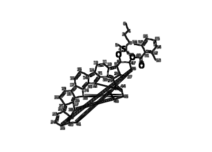 CCCC[Si](C)(C)OC1c2c3ccc4c5ccc6c7ccc8c9ccc%10c(c%11c2c2c3c4c3c5c6c4c7c8c5c9c%10c%11c6c2c3c4c56)C1OC(=O)c1c(C)cccc1C